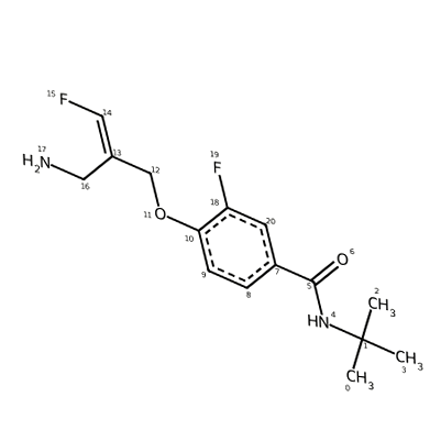 CC(C)(C)NC(=O)c1ccc(OC/C(=C/F)CN)c(F)c1